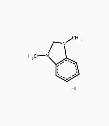 CN1CN(C)c2ccccc21.I